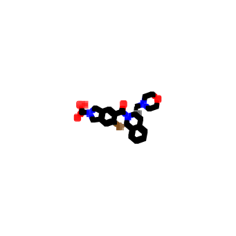 O=C(O)N1Cc2cc(Br)c(C(=O)N3Cc4ccccc4C[C@H]3CN3CCOCC3)cc2C1